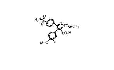 C=CCn1nc(-c2ccc(S(N)(=O)=O)cc2)c(-c2ccc(OC)c(F)c2)c1C(=O)O